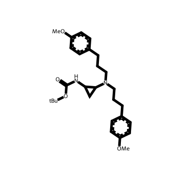 COc1ccc(CCCN(CCCc2ccc(OC)cc2)C2CC2NC(=O)OC(C)(C)C)cc1